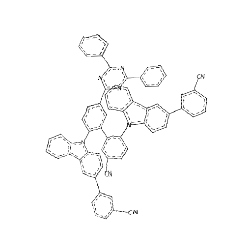 N#Cc1cccc(-c2ccc3c(c2)c2ccccc2n3-c2ccc(C#N)cc2-c2cc(-c3nc(-c4ccccc4)nc(-c4ccccc4)n3)ccc2-n2c3ccccc3c3cc(-c4cccc(C#N)c4)ccc32)c1